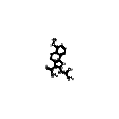 CCOc1cccc2c1CCc1c-2sc(NC(N)=O)c1C(N)=O